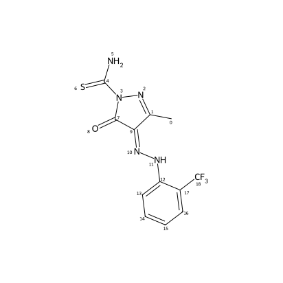 CC1=NN(C(N)=S)C(=O)/C1=N/Nc1ccccc1C(F)(F)F